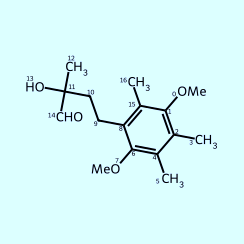 COc1c(C)c(C)c(OC)c(CCC(C)(O)C=O)c1C